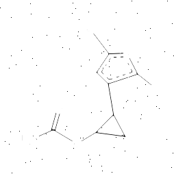 Cc1sc(Br)cc1C1CC1OC(N)=O